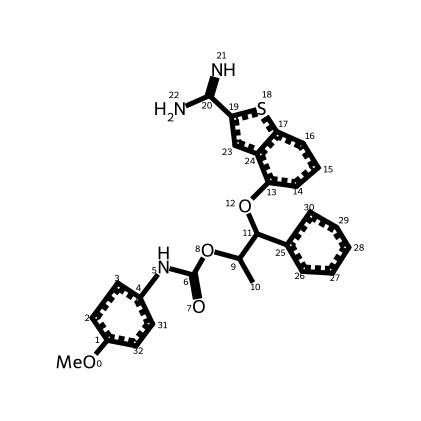 COc1ccc(NC(=O)OC(C)C(Oc2cccc3sc(C(=N)N)cc23)c2ccccc2)cc1